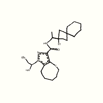 CCCC(CCC)n1nc(C(=O)NC(C)C2(CC)CC3(CCCCC3)C2)c2c1CCCCCC2